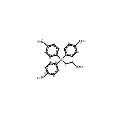 CCCCCCCCCCCC[Si](c1ccc(C=O)cc1)(c1ccc(C=O)cc1)c1ccc(C=O)cc1